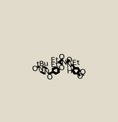 CC[C@@H](NC(=O)N1C(=O)C(CC)(CC)[C@@H]1Oc1ccc(C(=O)N2CCN(C(=O)C(C)(C)C)CC2)cc1)c1ccc2c(c1)OCO2